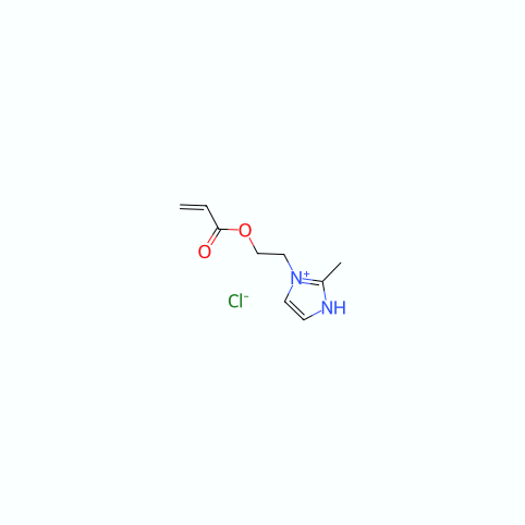 C=CC(=O)OCC[n+]1cc[nH]c1C.[Cl-]